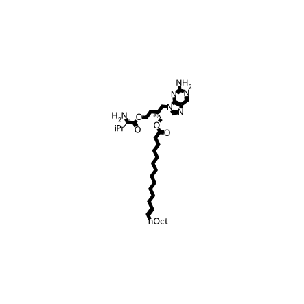 CCCCCCCCC=CCCCCCCCCCCCC(=O)OC[C@H](CCOC(=O)[C@@H](N)C(C)C)Cn1cnc2cnc(N)nc21